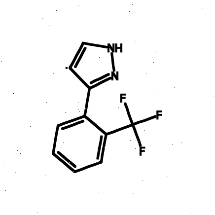 FC(F)(F)c1ccccc1-c1[c]c[nH]n1